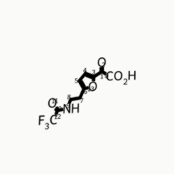 O=C(O)C(=O)c1ccc(CCNC(=O)C(F)(F)F)o1